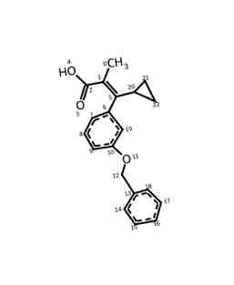 C/C(C(=O)O)=C(/c1cccc(OCc2ccccc2)c1)C1CC1